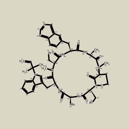 C=CC(C)(C)n1cc(C[C@@H]2NC(=O)[C@H](CCCC)NC(=O)[C@H](CC(C)C)N3CCC[C@@H](C3=O)N(C)C(=O)[C@H](C)NC(=O)[C@H](Cc3ccc4ncncc4c3)NC(=O)[C@H](CC(C)C)N(C)C2=O)c2ccccc21